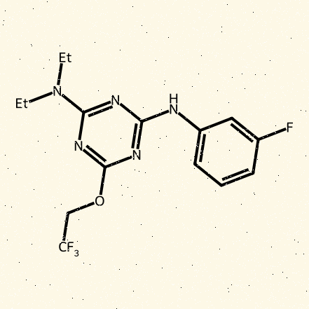 CCN(CC)c1nc(Nc2cccc(F)c2)nc(OCC(F)(F)F)n1